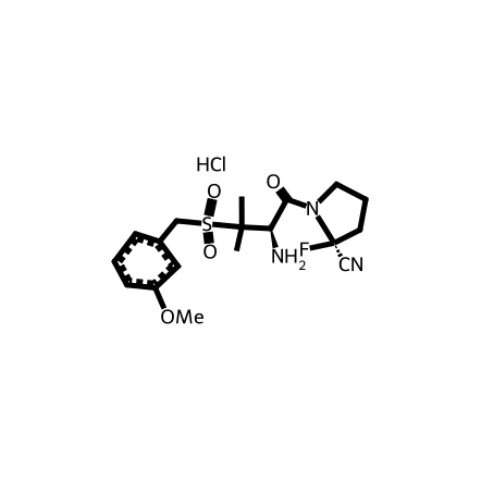 COc1cccc(CS(=O)(=O)C(C)(C)[C@H](N)C(=O)N2CCC[C@]2(F)C#N)c1.Cl